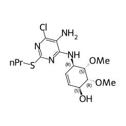 CCCSc1nc(Cl)c(N)c(N[C@@H]2C=C[C@H](O)[C@@H](OC)[C@H]2OC)n1